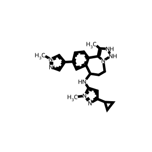 CC1=C2c3ccc(-c4cnn(C)c4)cc3C(Nc3cc(C4CC4)nn3C)CCN2NN1